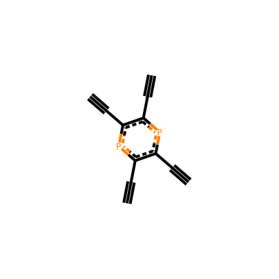 C#Cc1pc(C#C)c(C#C)pc1C#C